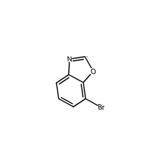 Brc1cccc2n[c]oc12